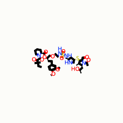 CCC(C)(C)C(=O)C(=O)N1CCCC[C@H]1C(=O)O[C@H](CCc1ccc(OC)c(OC)c1)COCCNS(=O)(=O)NC[C@@H]1C[C@H](SC2=C(C=O)N(C(C)=O)[C@@H](C[C@@H](C)O)[C@H]2C)CN1